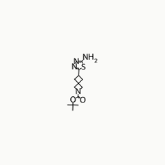 CC(C)(C)OC(=O)N1CC2(CC(c3nnc(N)s3)C2)C1